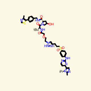 Cc1ncsc1-c1ccc(CNC(=O)[C@@H]2CC(O)CN2C(=O)[C@@H](NC(=O)COCCN2C=C(CCCS(=O)(=O)c3ccc(Nc4nccc(-c5cnc(C)n5C(C)C)n4)cc3)NN2)C(C)(C)C)cc1